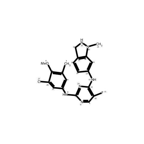 COc1c(C)cc(Nc2ncc(F)c(Nc3ccc4c(c3)N(C)NC4)n2)cc1Cl